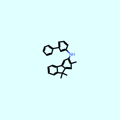 Cc1cc2c(cc1Nc1cccc(-c3ccccc3)c1)-c1ccccc1C2(C)C